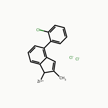 CC1=Cc2c(-c3ccccc3Cl)cccc2[CH]1[Zr+2].[Cl-].[Cl-]